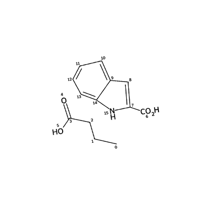 CCCC(=O)O.O=C(O)c1cc2ccccc2[nH]1